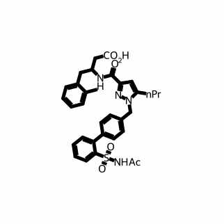 CCCc1cc(C(=O)NC(CC(=O)O)Cc2ccccc2C)nn1Cc1ccc(-c2ccccc2S(=O)(=O)NC(C)=O)cc1